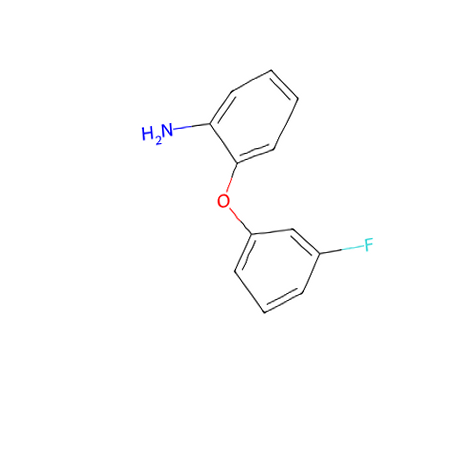 Nc1ccccc1Oc1cccc(F)c1